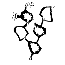 CCOC(=O)c1cnn(C2CCCN(c3cc(Cl)ccc3-c3ccc(N4CCNCC4)nc3)C2)c1C(F)(F)F